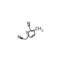 Cc1ccc(CC#N)nc1C#N